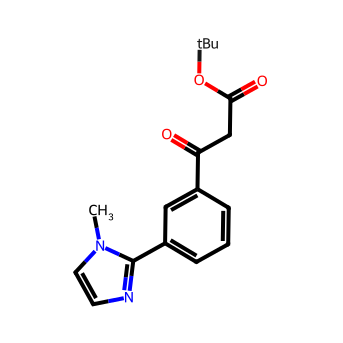 Cn1ccnc1-c1cccc(C(=O)CC(=O)OC(C)(C)C)c1